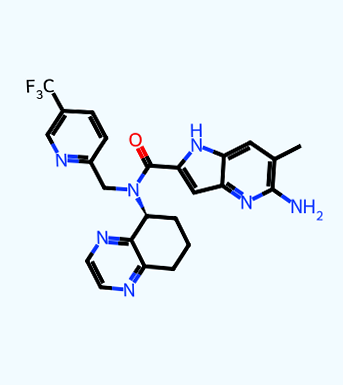 Cc1cc2[nH]c(C(=O)N(Cc3ccc(C(F)(F)F)cn3)[C@H]3CCCc4nccnc43)cc2nc1N